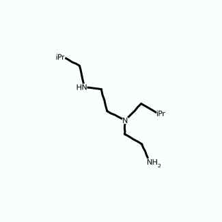 CC(C)CNCCN(CCN)CC(C)C